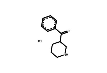 Cl.O=C(c1ccccc1)C1CCCNC1